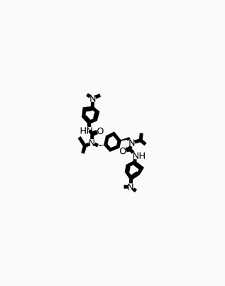 CC(C)N(C[C@H]1CC[C@H](CN(C(=O)Nc2ccc(N(C)C)cc2)C(C)C)CC1)C(=O)Nc1ccc(N(C)C)cc1